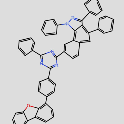 c1ccc(-c2nc(-c3ccc(-c4cccc5c4oc4ccccc45)cc3)nc(-c3ccc4cc(-c5ccccc5)c5c(-c6ccccc6)nn(-c6ccccc6)c5c4c3)n2)cc1